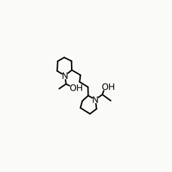 CC(O)N1CCCCC1CCCC1CCCCN1C(C)O